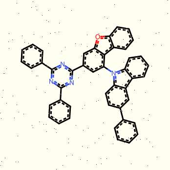 c1ccc(-c2ccc3c(c2)c2ccccc2n3-c2cc(-c3nc(-c4ccccc4)nc(-c4ccccc4)n3)cc3oc4ccccc4c23)cc1